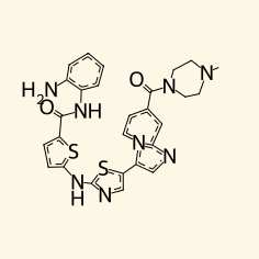 CN1CCN(C(=O)c2ccn3c(-c4cnc(Nc5ccc(C(=O)Nc6ccccc6N)s5)s4)cnc3c2)CC1